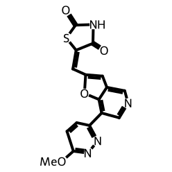 COc1ccc(-c2cncc3cc(C=C4SC(=O)NC4=O)oc23)nn1